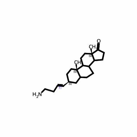 C[C@]12CC[C@H](/C=C/CCN)CC1CCC1C2CC[C@]2(C)C(=O)CCC12